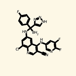 BC(Nc1cc(Cl)c2ncc(C#N)c(Nc3cnc(F)c(F)c3)c2c1)(c1ccc(F)cc1)c1c[nH]nn1